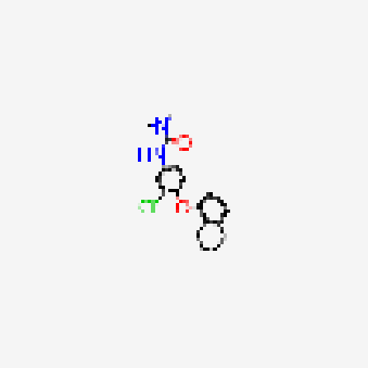 CN(C)C(=O)Nc1ccc(Oc2cccc3c2CCCC3)c(Cl)c1